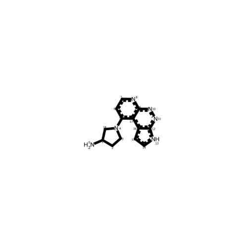 NC1CCN(c2ccnc3nnc4[nH]ccc4c23)C1